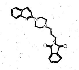 O=C1c2ccccc2C(=O)N1CCCN1CCN(c2ccc3ccccc3n2)CC1